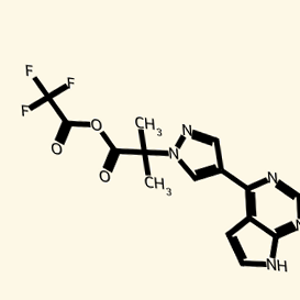 CC(C)(C(=O)OC(=O)C(F)(F)F)n1cc(-c2ncnc3[nH]ccc23)cn1